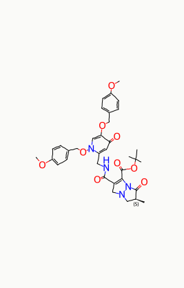 COc1ccc(COc2cn(OCc3ccc(OC)cc3)c(CNC(=O)C3=C(C(=O)OC(C)(C)C)N4C(=O)[C@@H](C)CN4C3)cc2=O)cc1